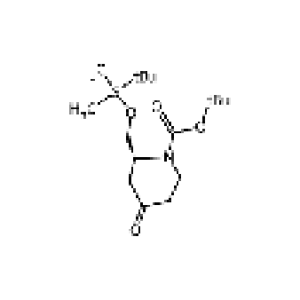 CC(C)(C)OC(=O)N1CCC(=O)C[C@H]1CO[Si](C)(C)C(C)(C)C